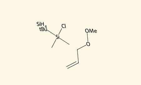 C=CCOOC.CC(C)(C)[Si](C)(C)Cl.[SiH4]